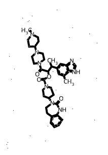 Cc1cc(C(C)C(OC(=O)N2CCC(N3CCc4ccccc4NC3=O)CC2)C(=O)N2CCN(C3CCN(C)CC3)CC2)cc2nc[nH]c12